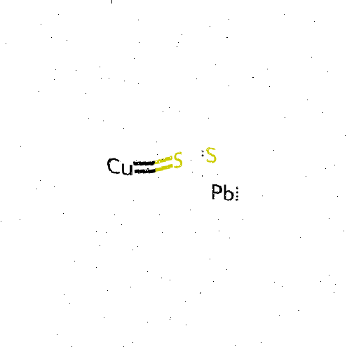 [Pb].[S].[S]=[Cu]